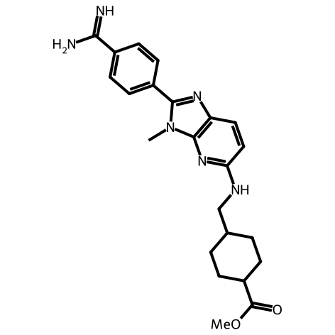 COC(=O)C1CCC(CNc2ccc3nc(-c4ccc(C(=N)N)cc4)n(C)c3n2)CC1